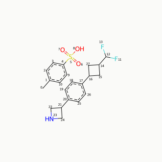 Cc1ccc(S(=O)(=O)O)cc1.FC(F)C1CC(c2ccc(C3CNC3)cc2)C1